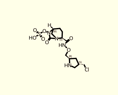 O=C(NOC[C@H]1C[C@H](CCl)CN1)[C@@H]1CC[C@@H]2CN1C(=O)N2OS(=O)(=O)O